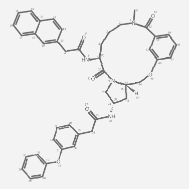 CN1CCC[C@H](NC(=O)Cc2ccc3ccccc3c2)C(=O)N2C[C@@H](NC(=O)Cc3cccc(Oc4ccccc4)c3)C[C@H]2COc2cccc(c2)C1=O